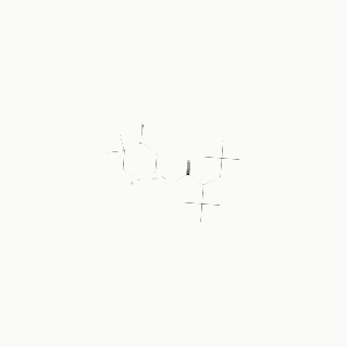 C[C@@H]1CC(C)(C)[C@@H](C)C[C@H]1OC(=O)C(CC(C)(C)C)C(C)(C)C